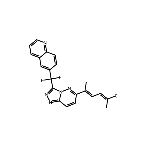 C/C(Cl)=C\C=C(/C)c1ccc2nnc(C(F)(F)c3ccc4ncccc4c3)n2n1